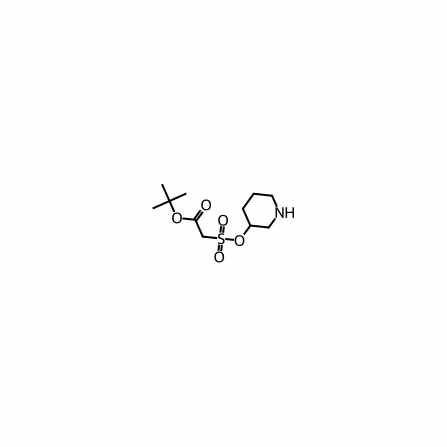 CC(C)(C)OC(=O)CS(=O)(=O)OC1CCCNC1